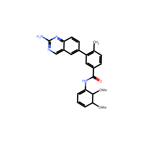 COC1C=CC=C(NC(=O)c2ccc(C)c(-c3ccc4nc(N)ncc4c3)c2)C1OC